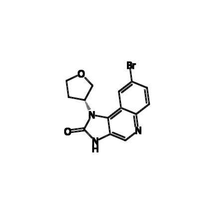 O=c1[nH]c2cnc3ccc(Br)cc3c2n1[C@@H]1CCOC1